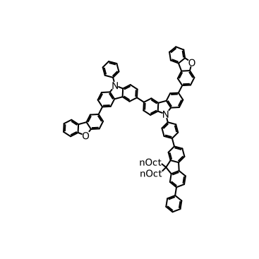 CCCCCCCCC1(CCCCCCCC)c2cc(-c3ccccc3)ccc2-c2ccc(-c3ccc(-n4c5ccc(-c6ccc7oc8ccccc8c7c6)cc5c5cc(-c6ccc7c(c6)c6cc(-c8ccc9oc%10ccccc%10c9c8)ccc6n7-c6ccccc6)ccc54)cc3)cc21